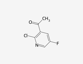 CC(=O)c1cc(F)cnc1Cl